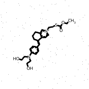 CCOC(=O)SCC[n+]1ccc2c(c1)CCC/C2=C\c1ccc(N(CCO)CCO)cc1